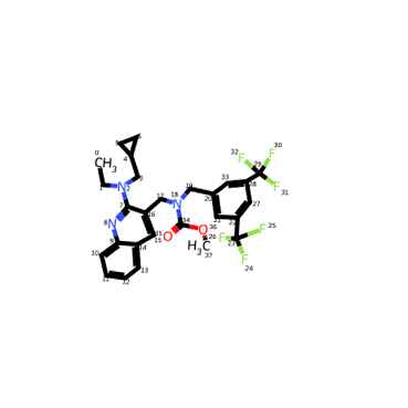 CCN(CC1CC1)c1nc2ccccc2cc1CN(Cc1cc(C(F)(F)F)cc(C(F)(F)F)c1)C(=O)OC